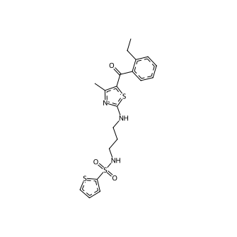 CCc1ccccc1C(=O)c1sc(NCCCNS(=O)(=O)c2cccs2)nc1C